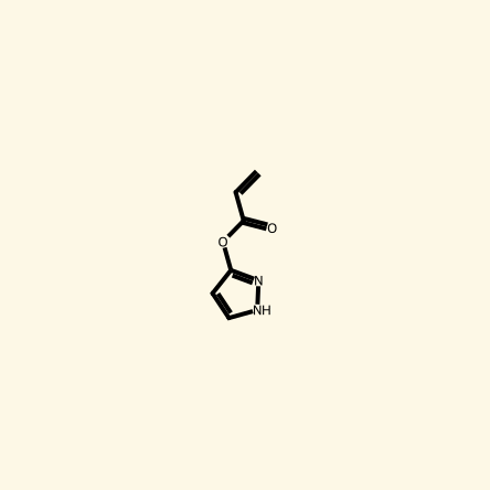 C=CC(=O)Oc1cc[nH]n1